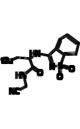 CC(C)(C)CC(NC1=NS(=O)(=O)c2ccccc21)C(=O)NCC#N